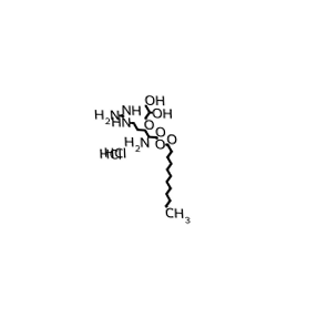 CCCCCCCCCCCC(=O)OC(=O)[C@@H](N)C(CCNC(=N)N)OCC(O)CO.Cl.Cl